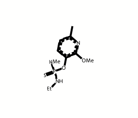 CCNP(=S)(NC)Oc1ccc(C)nc1OC